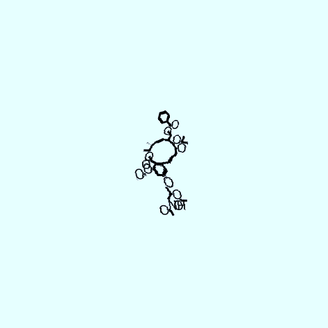 COCOc1cc(OCC(CNC(C)=O)OC(C)=O)cc2c1C(=O)OC(C)[C@H](C)/C=C\C(COC(=O)c1ccccc1)C1OC(C)(C)OC1C/C=C/2